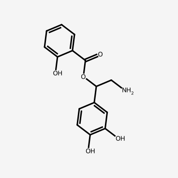 NCC(OC(=O)c1ccccc1O)c1ccc(O)c(O)c1